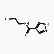 O=C(NCCO)c1cn[nH]c1